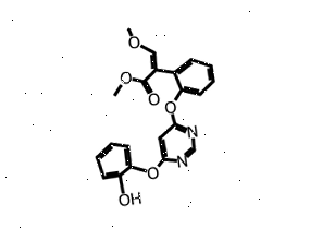 COC=C(C(=O)OC)c1ccccc1Oc1cc(Oc2ccccc2O)ncn1